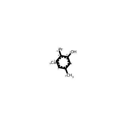 Cc1ccc(C(C)C)c(O)c1.[CaH2]